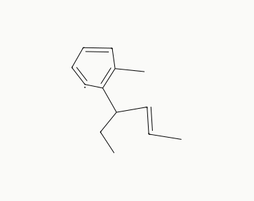 CC=CC(CC)c1[c]cccc1C